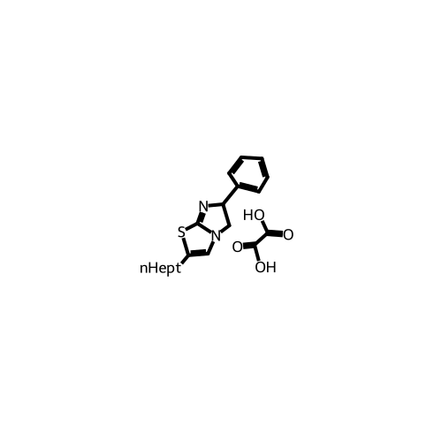 CCCCCCCC1=CN2CC(c3ccccc3)N=C2S1.O=C(O)C(=O)O